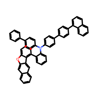 c1ccc(-c2ccc(N(c3ccc(-c4ccc(-c5cccc6ccccc56)cc4)cc3)c3ccccc3-c3cccc4oc5cc6ccccc6cc5c34)cc2)cc1